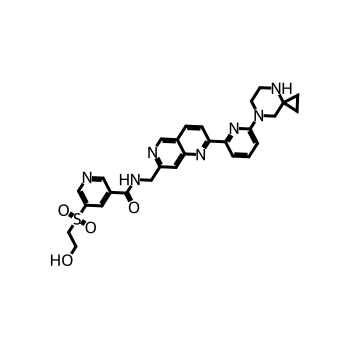 O=C(NCc1cc2nc(-c3cccc(N4CCNC5(CC5)C4)n3)ccc2cn1)c1cncc(S(=O)(=O)CCO)c1